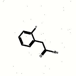 CCCCC(=O)Cc1ccccc1F